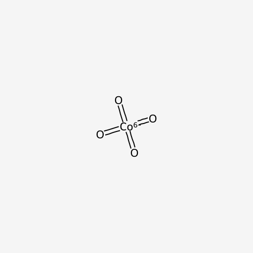 [O]=[Co-6](=[O])(=[O])=[O]